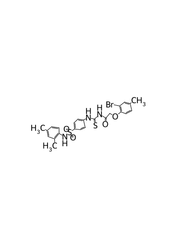 Cc1ccc(NS(=O)(=O)c2ccc(NC(=S)NC(=O)COc3ccc(C)cc3Br)cc2)c(C)c1